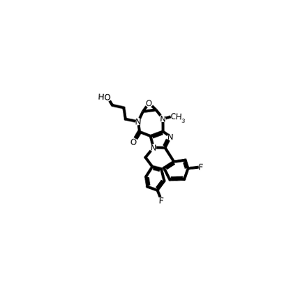 CN1c2nc(-c3cccc(F)c3)n(Cc3ccc(F)cc3)c2C(=O)N(CCCO)C2OC21